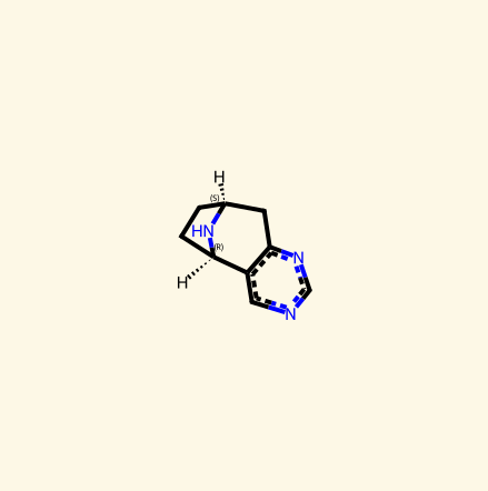 c1ncc2c(n1)C[C@@H]1CC[C@H]2N1